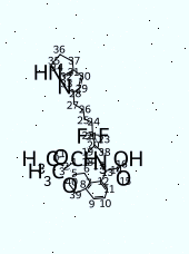 COC(C)(C)[C@@H]1Cc2c(cccc2C(C(=O)O)N2CC[C@@H](C(F)(F)CCCCc3ccc4c(n3)NCCC4)C2)CO1